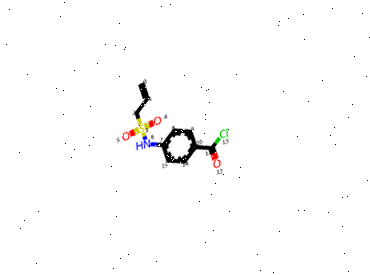 C=CCS(=O)(=O)Nc1ccc(C(=O)Cl)cc1